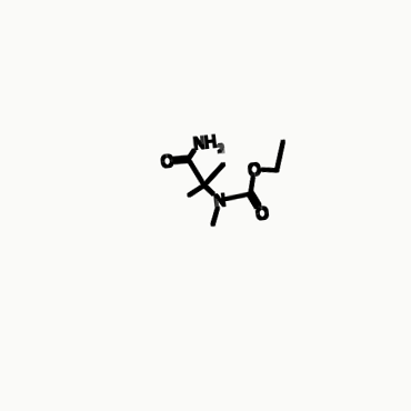 CCOC(=O)N(C)C(C)(C)C(N)=O